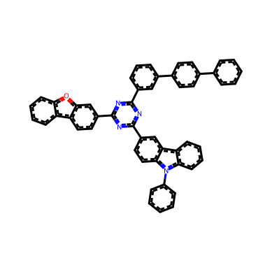 c1ccc(-c2ccc(-c3cccc(-c4nc(-c5ccc6c(c5)oc5ccccc56)nc(-c5ccc6c(c5)c5ccccc5n6-c5ccccc5)n4)c3)cc2)cc1